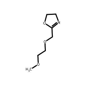 COCCOCC1=NCCO1